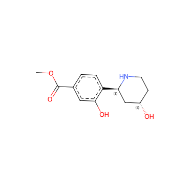 COC(=O)c1ccc([C@@H]2C[C@@H](O)CCN2)c(O)c1